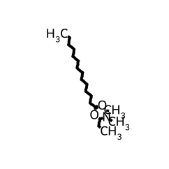 CCCCCCCCCCCCCC(=O)OC(CC)N(C)C